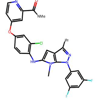 CNC(=O)c1cc(Oc2ccc(Nc3cc4c(C(C)C)nn(-c5cc(F)cc(F)c5)c4n3C)c(Cl)c2)ccn1